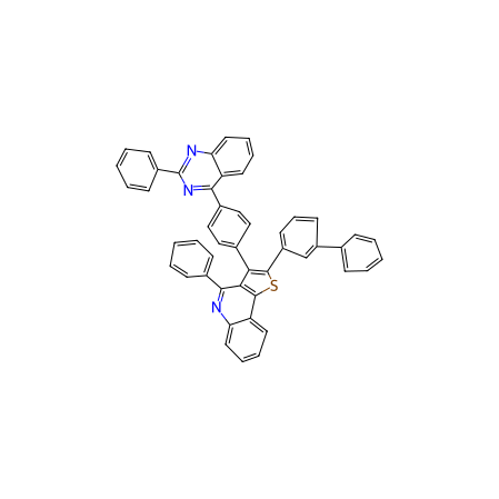 c1ccc(-c2cccc(-c3sc4c(c(-c5ccccc5)nc5ccccc54)c3-c3ccc(-c4nc(-c5ccccc5)nc5ccccc45)cc3)c2)cc1